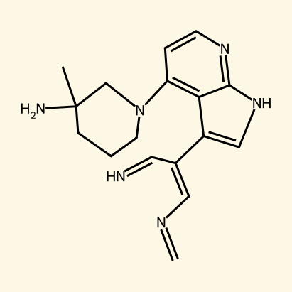 C=N/C=C(\C=N)c1c[nH]c2nccc(N3CCCC(C)(N)C3)c12